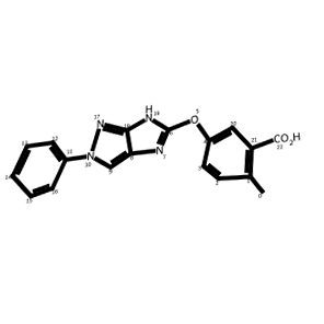 Cc1ccc(Oc2nc3cn(-c4ccccc4)nc3[nH]2)cc1C(=O)O